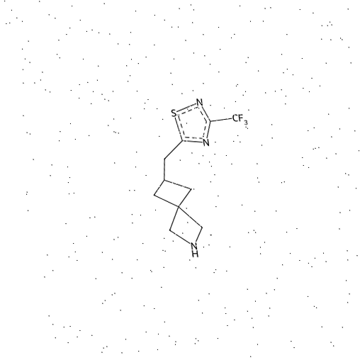 FC(F)(F)c1nsc(CC2CC3(CNC3)C2)n1